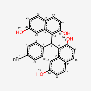 CCCc1ccc(C(c2c(O)ccc3ccc(O)cc23)c2c(O)ccc3ccc(O)cc23)cc1